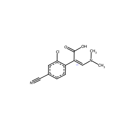 CN(C)/C=C(\C(=O)O)c1ccc(C#N)cc1Cl